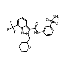 NS(=O)(=O)c1cccc(NC(=O)c2c3cccc(C(F)(F)F)c3nn2CC2CCCCO2)c1